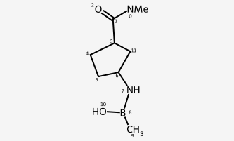 CNC(=O)C1CCC(NB(C)O)C1